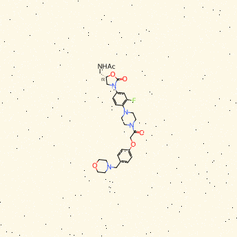 CC(=O)NC[C@H]1CN(c2ccc(N3CCN(C(=O)COc4ccc(CN5CCOCC5)cc4)CC3)c(F)c2)C(=O)O1